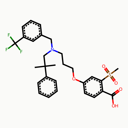 CC(C)(CN(CCCOc1ccc(C(=O)O)c(S(C)(=O)=O)c1)Cc1cccc(C(F)(F)F)c1)c1ccccc1